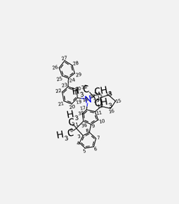 CC1(C)c2ccccc2-c2cc(C3CCCC3)c(N(c3cccc(-c4ccccc4)c3)C(C)(C)C)cc21